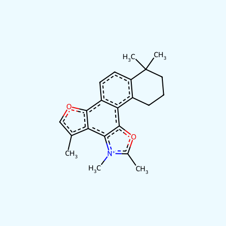 Cc1coc2c3ccc4c(c3c3oc(C)[n+](C)c3c12)CCCC4(C)C